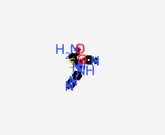 CN1CCN(c2ccc(Nc3nc(OC4CCC(N(C)C)CC4)c4c5c(sc4n3)CCC5CC(N)=O)cc2)CC1